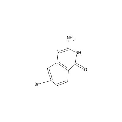 Nc1nc2cc(Br)ccc2c(=O)[nH]1